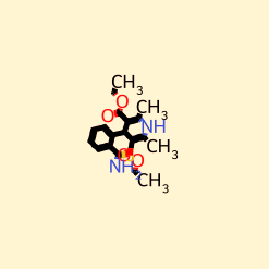 CCOC(=O)C1=C(C)NC(C)=C(C(=O)OCC)C1c1ccccc1C(N)=S